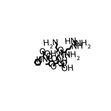 CC(C)C(CC(=O)[C@H](CC(=O)O)NC(=O)[C@H](CCCCN)NC(=O)[C@@H](N)CCCNC(=N)N)C(=O)N[C@@H](Cc1ccccc1)C(=O)O